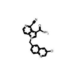 N#Cc1nccc2c1c(C(N)=O)cn2Cc1ccc2ncc(Cl)cc2c1